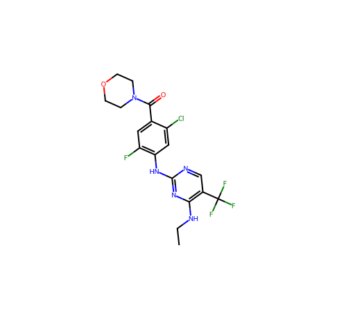 CCNc1nc(Nc2cc(Cl)c(C(=O)N3CCOCC3)cc2F)ncc1C(F)(F)F